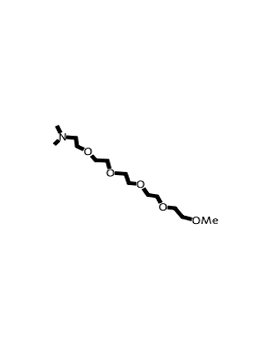 COCCOCCOCCOCCOCCN(C)C